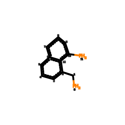 PCc1cccc2cccc(P)c12